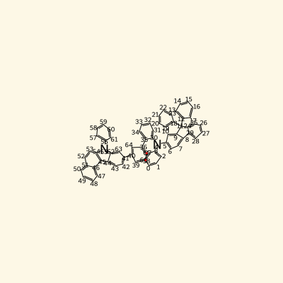 c1ccc(N(c2ccc3c(c2)C(c2ccccc2)(c2ccccc2)c2ccccc2-3)c2ccccc2-c2cccc(-c3ccc4c5c6ccccc6ccc5n(-c5ccccc5)c4c3)c2)cc1